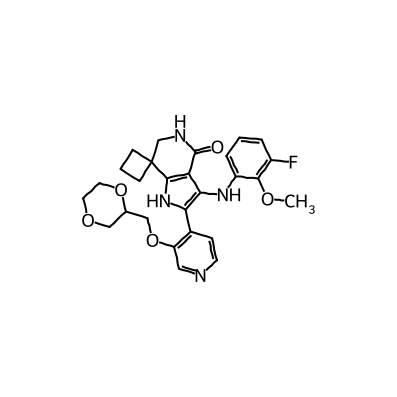 COc1c(F)cccc1Nc1c(-c2ccncc2OCC2COCCO2)[nH]c2c1C(=O)NCC21CCC1